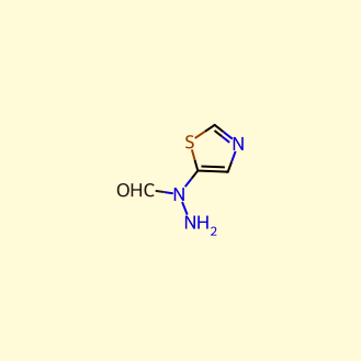 NN(C=O)c1cncs1